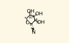 N#C[C@@H]1OC[C@@H](O)[C@H](O)[C@H]1O